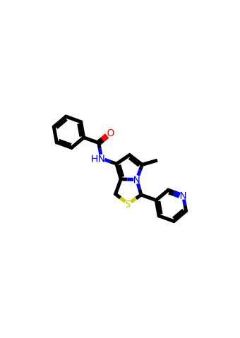 Cc1cc(NC(=O)c2ccccc2)c2n1C(c1cccnc1)SC2